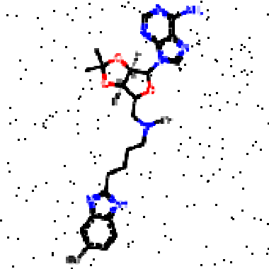 CC(C)N(CCCCc1nc2cc(C(C)(C)C)ccc2[nH]1)CC1OC(n2cnc3c(N)ncnc32)[C@@H]2OC(C)(C)O[C@H]12